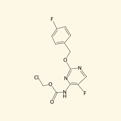 O=C(Nc1nc(OCc2ccc(F)cc2)ncc1F)OCCl